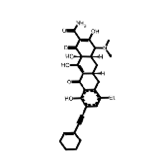 CCc1cc(C#CC2=CCCCC2)c(O)c2c1C[C@H]1C[C@H]3C(N(C)C)C(O)=C(C(N)=O)C(=O)[C@@]3(O)C(O)=C1C2=O